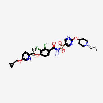 CC[C@@H](Oc1ccc(C(=O)NS(=O)(=O)c2cnc(OC3CCN(C)CC3)nc2)c(F)c1F)c1ccc(OCC2CC2)cn1